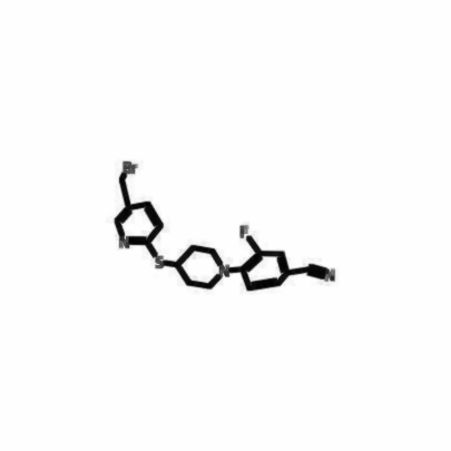 N#Cc1ccc(N2CCC(Sc3ccc(CBr)cn3)CC2)c(F)c1